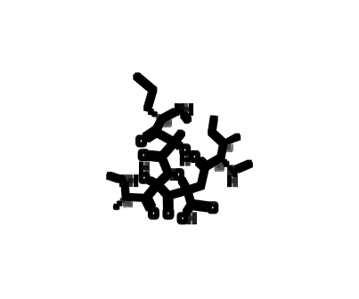 CCC[C@H](NC)C(=O)C(C)(O)C(=O)CC(O)(C(=O)[C@H](C)NC)C(=O)C(O)(CC(=O)[C@@H](NC)[C@H](C)CC)C(=O)O